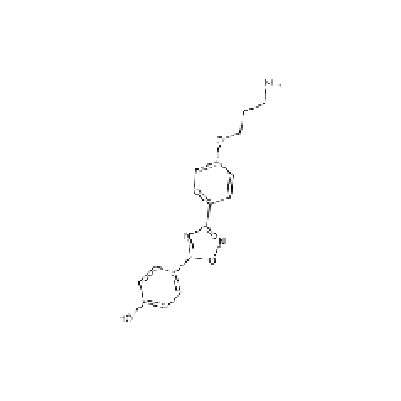 NCCCOc1ccc(-c2noc(-c3ccc(O)cc3)n2)cc1